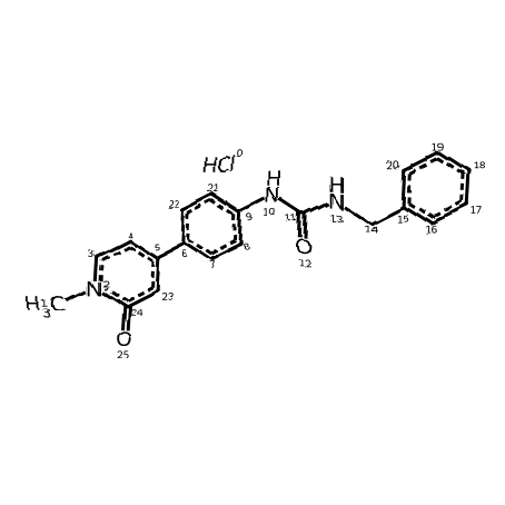 Cl.Cn1ccc(-c2ccc(NC(=O)NCc3ccccc3)cc2)cc1=O